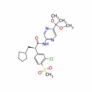 COC(C)(OC)c1cnc(NC(=O)[C@H](CC2CCCC2)c2ccc(S(C)(=O)=O)c(Cl)c2)cn1